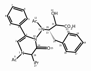 CC(=O)N1C=C(c2ccccc2)N(N(C(C)=O)[C@@H](Cc2ccccc2)C(O)C(=O)O)C(=O)C1C(C)C